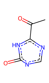 CC(=O)c1ncnc(=O)[nH]1